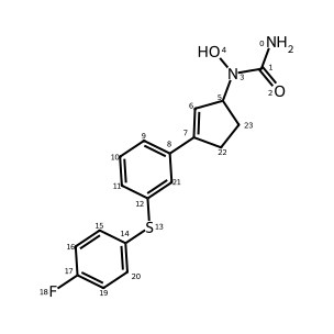 NC(=O)N(O)C1C=C(c2cccc(Sc3ccc(F)cc3)c2)CC1